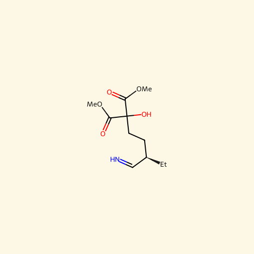 CC[C@@H](C=N)CCC(O)(C(=O)OC)C(=O)OC